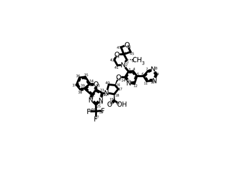 C[C@@H]1N(c2cc(-c3cncnc3)cnc2O[C@H]2C[C@@H](C(=O)O)N(c3nc(C(F)(F)F)nc4c3oc3ccccc34)C2)CCOC12COC2